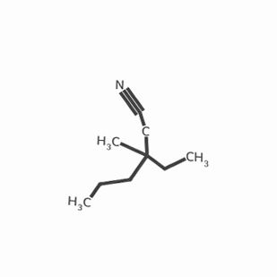 CCCC(C)(CC)CC#N